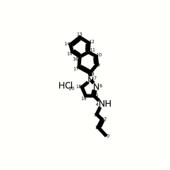 CC=CCNC1=NN(c2ccc3ccccc3c2)CC1.Cl